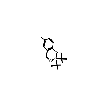 Cc1ccc2c(c1)CO[Si](C(C)(C)C)(C(C)(C)C)O2